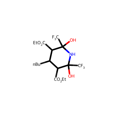 CCCCC1C(C(=O)OCC)C(O)(C(F)(F)F)NC(O)(C(F)(F)F)C1C(=O)OCC